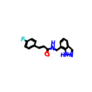 O=C(/C=C/c1ccc(F)cc1)NCc1cccc2cn[nH]c12